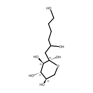 OCCCCC(O)C[C@@]1(O)OC[C@@H](O)[C@H](O)[C@H]1O